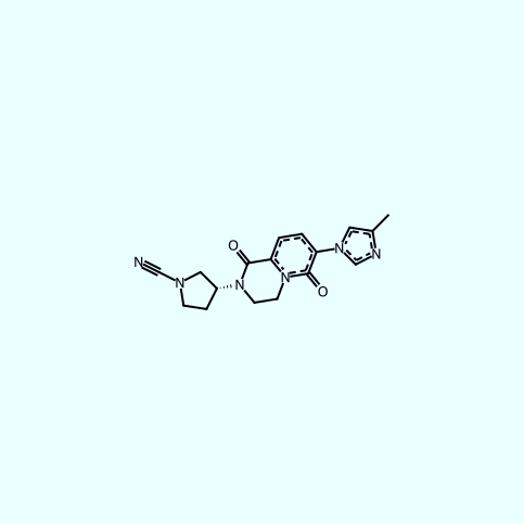 Cc1cn(-c2ccc3n(c2=O)CCN([C@@H]2CCN(C#N)C2)C3=O)cn1